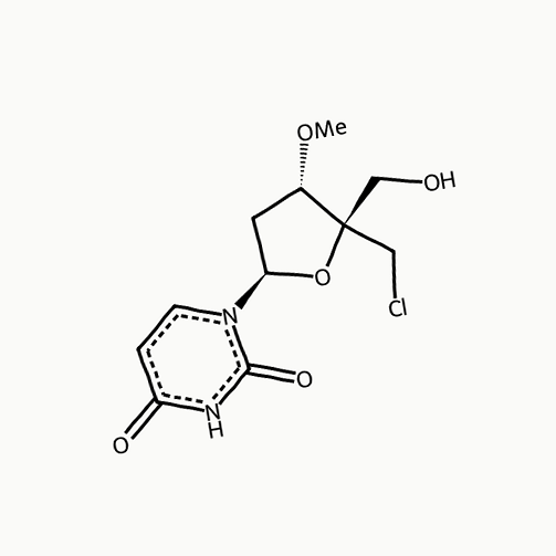 CO[C@H]1C[C@H](n2ccc(=O)[nH]c2=O)O[C@@]1(CO)CCl